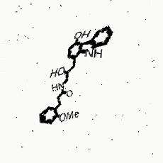 COc1ccccc1CCC(=O)NCC(O)Cc1ccc(O)c2c1[nH]c1ccccc12